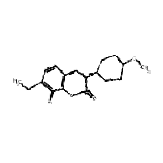 CCc1ccc2c(c1F)OC(=O)C(C1CCC(OC)CC1)C2